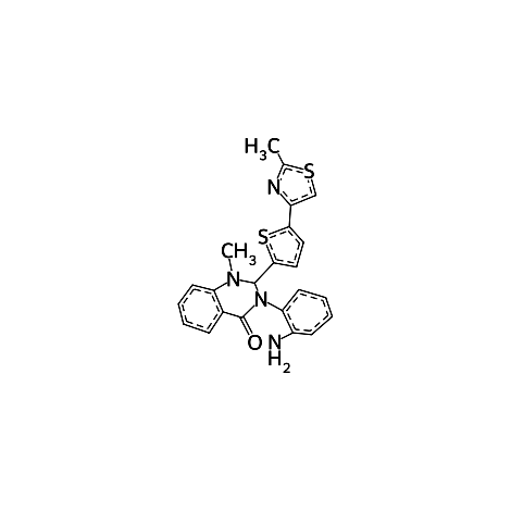 Cc1nc(-c2ccc(C3N(C)c4ccccc4C(=O)N3c3ccccc3N)s2)cs1